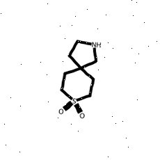 O=S1(=O)CCC2(CCNC2)CC1